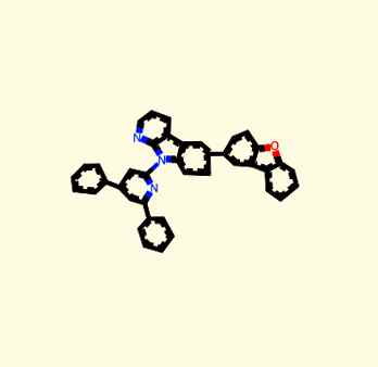 c1ccc(-c2cc(-c3ccccc3)nc(-n3c4ccc(-c5ccc6oc7ccccc7c6c5)cc4c4cccnc43)c2)cc1